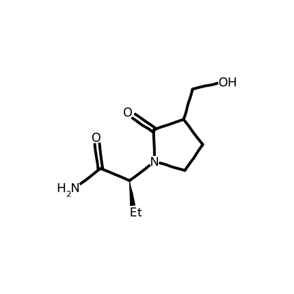 CC[C@@H](C(N)=O)N1CCC(CO)C1=O